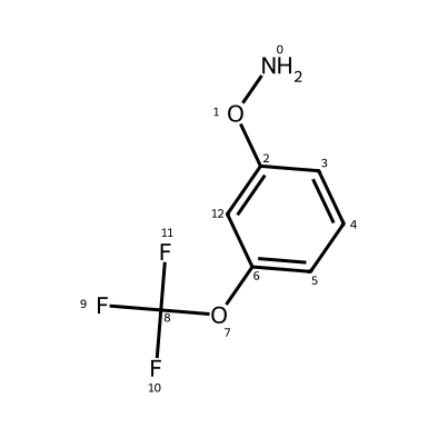 NOc1cccc(OC(F)(F)F)c1